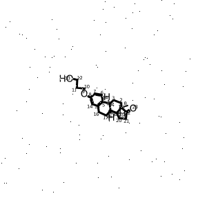 C[C@]12CC[C@@H]3c4ccc(OCCCO)cc4CC[C@H]3[C@@H]1CCC2=O